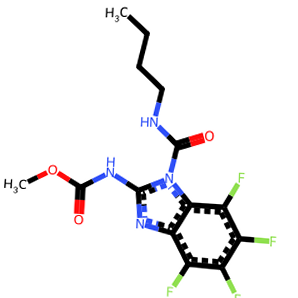 CCCCNC(=O)n1c(NC(=O)OC)nc2c(F)c(F)c(F)c(F)c21